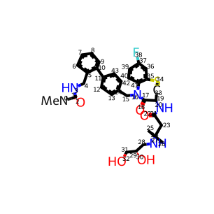 CNC(=O)NCc1ccccc1-c1ccc(CN2C(=O)[C@H](NC(=O)CC(C)(C)NC[C@H](O)CO)CSc3cc(F)ccc32)cc1